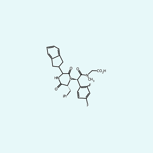 CC(C)C[C@@H]1C(=O)NC(C2Cc3ccccc3C2)C(=O)N1[C@@H](C(=O)N(C)CC(=O)O)c1ccc(F)cc1F